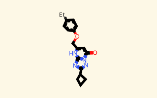 CCc1ccc(OCc2cc(=O)n3nc(C4CCC4)nc3[nH]2)cc1